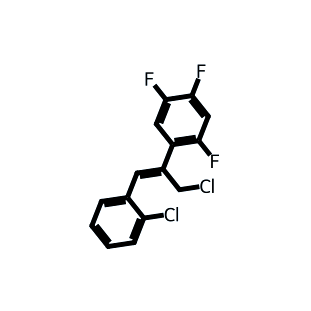 Fc1cc(F)c(C(=Cc2ccccc2Cl)CCl)cc1F